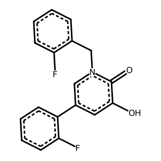 O=c1c(O)cc(-c2ccccc2F)cn1Cc1ccccc1F